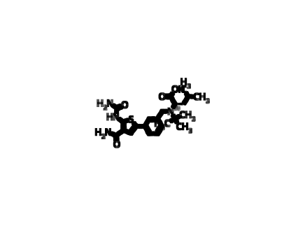 CC(C)C[C@@H](C(=O)O)N(Cc1cccc(-c2cc(C(N)=O)c(NC(N)=O)s2)c1)C(C)(C)C